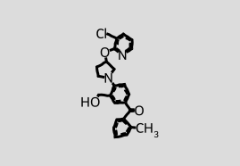 Cc1ccccc1C(=O)c1ccc(N2CCC(Oc3ncccc3Cl)C2)c(CO)c1